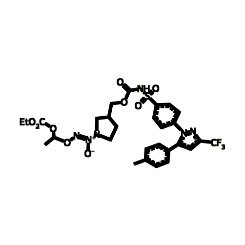 CCOC(=O)OC(C)ON=[N+]([O-])N1CCC(COC(=O)NS(=O)(=O)c2ccc(-n3nc(C(F)(F)F)cc3-c3ccc(C)cc3)cc2)C1